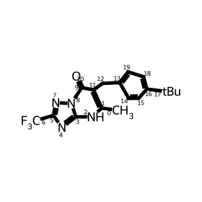 Cc1[nH]c2nc(C(F)(F)F)nn2c(=O)c1Cc1ccc(C(C)(C)C)cc1